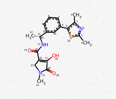 Cc1nc(C)c(-c2cccc([C@@H](C)NC(=O)C3=C(O)C(=O)N(C)C3)c2)s1